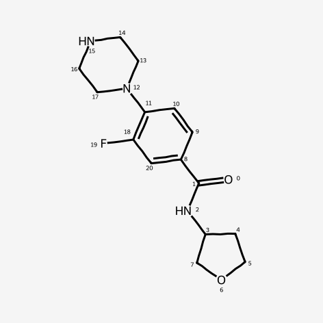 O=C(NC1CCOC1)c1ccc(N2CCNCC2)c(F)c1